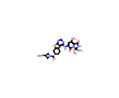 CNC1CN(C(=O)[C@H]2CCc3c(sc4ncnc(Nc5cc(C)c6n(c5=O)C(C)(C)NC6=O)c34)C2)C1